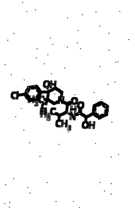 CC(C)[C@@H](NC(=O)C(O)c1ccccc1)C(=O)N1CC[C@](O)(c2ccc(Cl)cc2)C(C)(C)C1